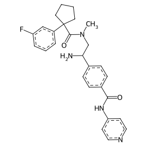 CN(CC(N)c1ccc(C(=O)Nc2ccncc2)cc1)C(=O)C1(c2cccc(F)c2)CCCC1